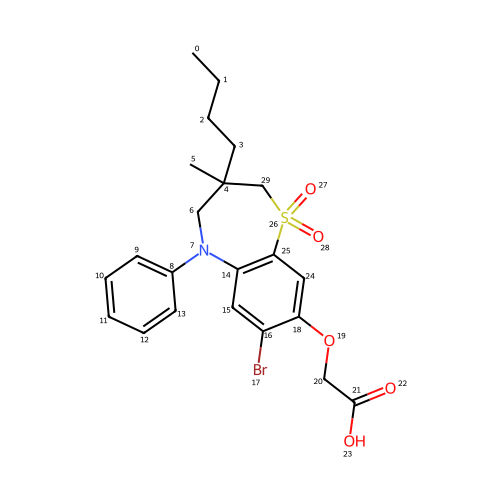 CCCCC1(C)CN(c2ccccc2)c2cc(Br)c(OCC(=O)O)cc2S(=O)(=O)C1